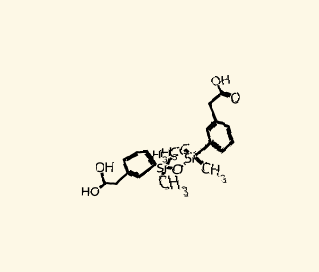 C[Si](C)(O[Si](C)(C)c1cccc(CC(O)O)c1)c1cccc(CC(=O)O)c1